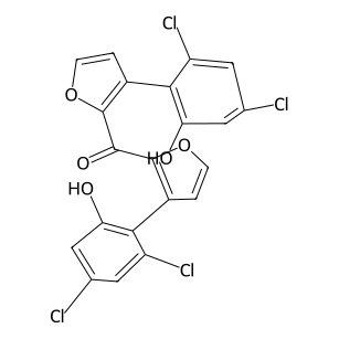 O=C(c1occc1-c1c(O)cc(Cl)cc1Cl)c1occc1-c1c(O)cc(Cl)cc1Cl